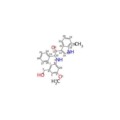 COc1cc(CO)cc(NC(C(=O)c2c[nH]c3c(C)cccc23)c2ccccc2)c1